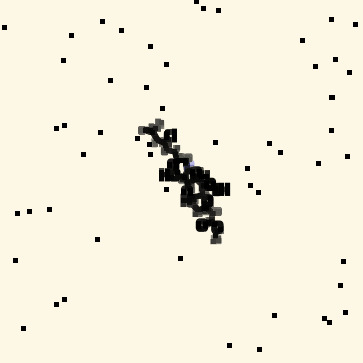 C=C(I)C[C@H](Cl)CCC(=O)/C=C1/O[C@@H]2C(O[C@H]3CC[C@H](CC(=O)OC)OC3[C@@H]2OS)[C@H]1O